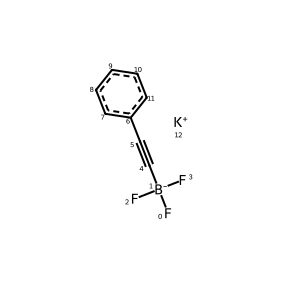 F[B-](F)(F)C#Cc1ccccc1.[K+]